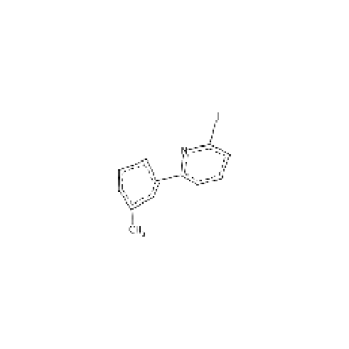 Cc1cccc(-c2cccc(I)n2)c1